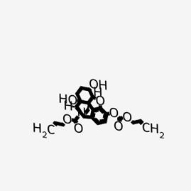 C=CCOC(=O)Oc1ccc2c3c1O[C@H]1C(O)CCC4(O)[C@@H](C2)N(C(=O)OCC=C)CC[C@]314